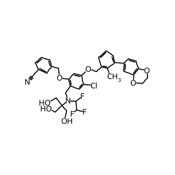 Cc1c(COc2cc(OCc3cccc(C#N)c3)c(CN(C(F)C(F)F)C(CO)(CO)CO)cc2Cl)cccc1-c1ccc2c(c1)OCCO2